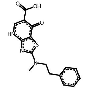 CN(CCc1ccccc1)c1nc2[nH]cc(C(=O)O)c(=O)c2s1